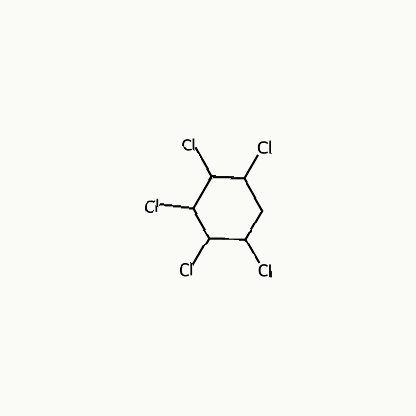 ClC1CC(Cl)C(Cl)C(Cl)C1Cl